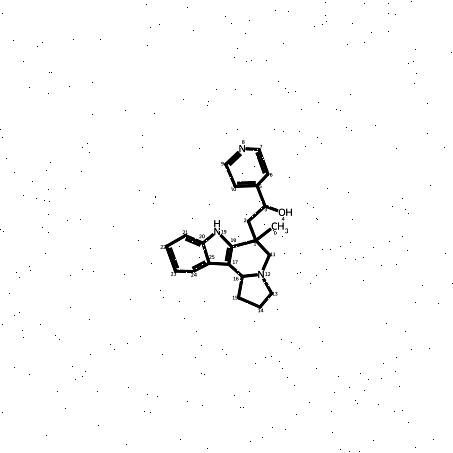 CC1(CC(O)c2ccncc2)CN2CCCC2c2c1[nH]c1ccccc21